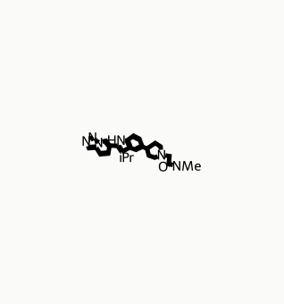 CNC(=O)CN1CCC(c2ccc3[nH]c(-c4ccc5cnnn5c4)c(C(C)C)c3c2)CC1